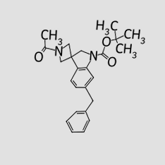 CC(=O)N1CC2(C1)CN(C(=O)OC(C)(C)C)c1cc(Cc3ccccc3)ccc12